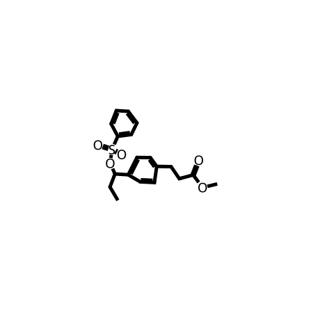 CCC(OS(=O)(=O)c1ccccc1)c1ccc(CCC(=O)OC)cc1